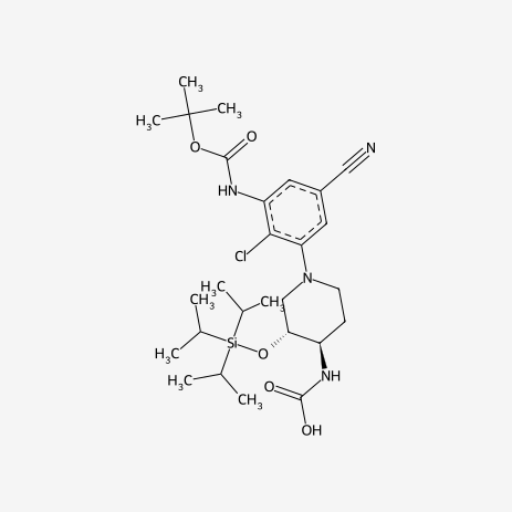 CC(C)[Si](O[C@@H]1CN(c2cc(C#N)cc(NC(=O)OC(C)(C)C)c2Cl)CC[C@H]1NC(=O)O)(C(C)C)C(C)C